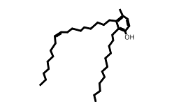 CCCCCCCC/C=C\CCCCCCCCc1c(C)ccc(O)c1CCCCCCCCCCCC